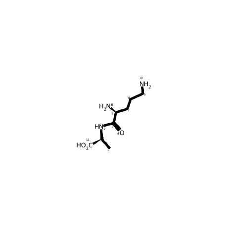 C[C@H](NC(=O)[C@@H](N)CCCN)C(=O)O